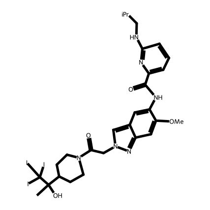 COc1cc2nn(CC(=O)N3CCC(C(C)(O)C(I)(I)I)CC3)cc2cc1NC(=O)c1cccc(NCC(C)C)n1